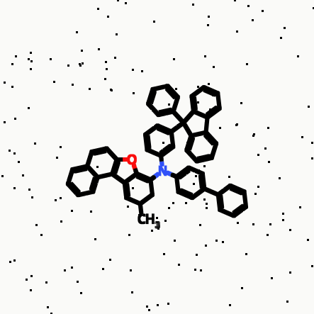 CC1C=c2c(oc3ccc4ccccc4c23)=C(N(c2ccc(-c3ccccc3)cc2)c2cccc(C3(c4ccccc4)c4ccccc4-c4ccccc43)c2)C1